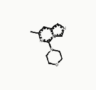 Cc1cc2cncn2c(N2CCOCC2)n1